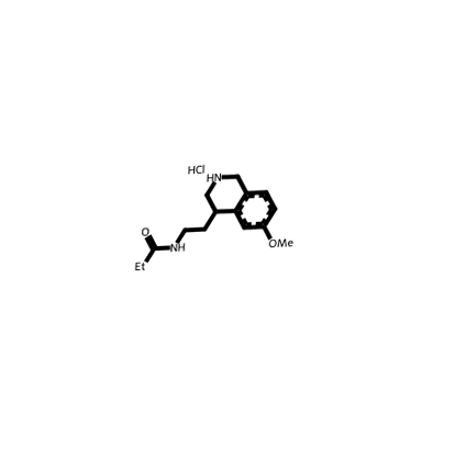 CCC(=O)NCCC1CNCc2ccc(OC)cc21.Cl